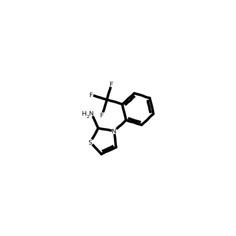 NC1SC=CN1c1ccccc1C(F)(F)F